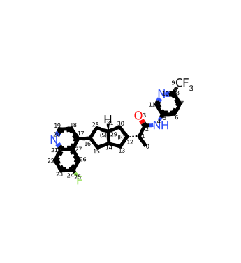 CC(C(=O)Nc1ccc(C(F)(F)F)nc1)[C@@H]1CC2CC(c3ccnc4ccc(F)cc34)C[C@@H]2C1